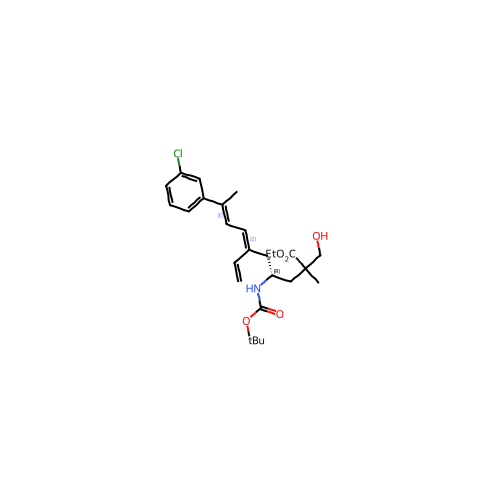 C=C/C(=C\C=C(/C)c1cccc(Cl)c1)C[C@H](CC(C)(CO)C(=O)OCC)NC(=O)OC(C)(C)C